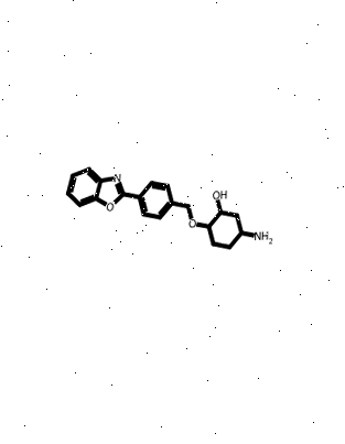 NC1CCC(OCc2ccc(-c3nc4ccccc4o3)cc2)C(O)C1